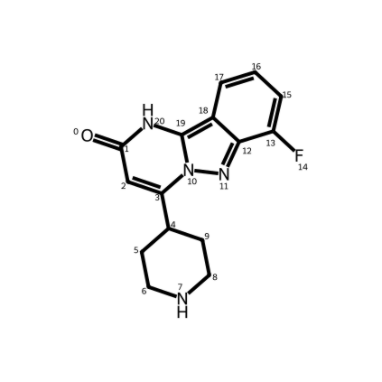 O=c1cc(C2CCNCC2)n2nc3c(F)cccc3c2[nH]1